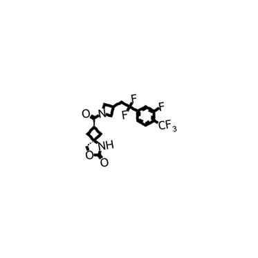 O=C1N[C@]2(CO1)C[C@H](C(=O)N1CC(CC(F)(F)c3ccc(C(F)(F)F)c(F)c3)C1)C2